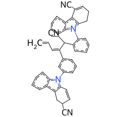 C=C/C=C(/c1cccc(-n2c3c(c4ccccc42)CC(C#N)C=C3)c1)C(CCC#N)c1ccccc1-n1c2c(c3ccccc31)C(C#N)=CCC2